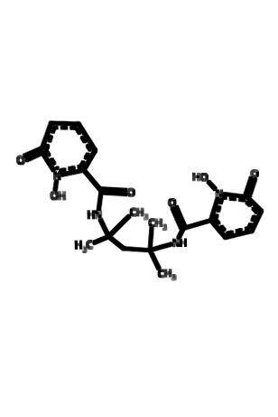 CC(C)(CC(C)(C)NC(=O)c1cccc(=O)n1O)NC(=O)c1cccc(=O)n1O